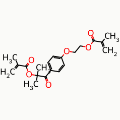 C=C(C)C(=O)OCCOc1ccc(C(=O)C(C)(C)OC(=O)C(=C)C)cc1